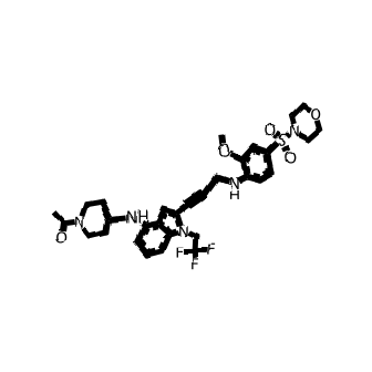 COc1cc(S(=O)(=O)N2CCOCC2)ccc1NCC#Cc1cc2c(NC3CCN(C(C)=O)CC3)cccc2n1CC(F)(F)F